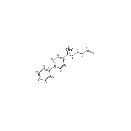 C=CCCCC(O)c1ccc(-c2ccccc2)cc1